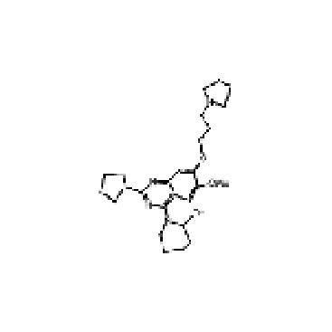 COc1cc2c(N3CCCCC3O)nc(N3CCCC3)nc2cc1OCCCN1CCCC1